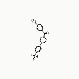 O=C(c1ccc(C2COC2)cc1)N1CCC(c2ccc(C(F)(F)F)cc2)CC1